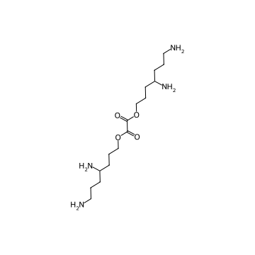 NCCCC(N)CCCOC(=O)C(=O)OCCCC(N)CCCN